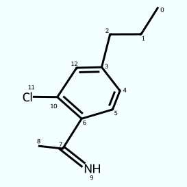 CCCc1ccc(C(C)=N)c(Cl)c1